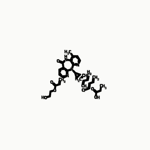 C=C.C=CC(=O)OCCO.C=CC=C.C=CC=CCl.CCC(=O)O.Cc1ccnc2c1NC(=O)c1cccnc1N2C1CC1